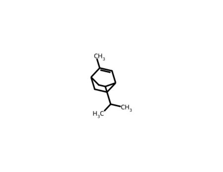 CC1=CC2CCC1CC2C(C)C